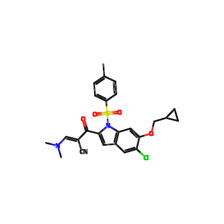 Cc1ccc(S(=O)(=O)n2c(C(=O)C(C#N)=CN(C)C)cc3cc(Cl)c(OCC4CC4)cc32)cc1